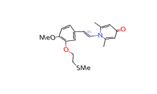 COc1ccc(/C=C/n2c(C)cc(=O)cc2C)cc1OCCSC